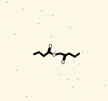 [CH2]CCC(=O)OCC(=O)CCC